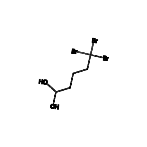 OC(O)CCCC(Br)(Br)Br